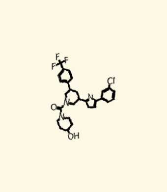 O=C(N1CCC(O)CC1)N1CC(C2=NC(c3cccc(Cl)c3)=CC2)CC(c2ccc(C(F)(F)F)cc2)C1